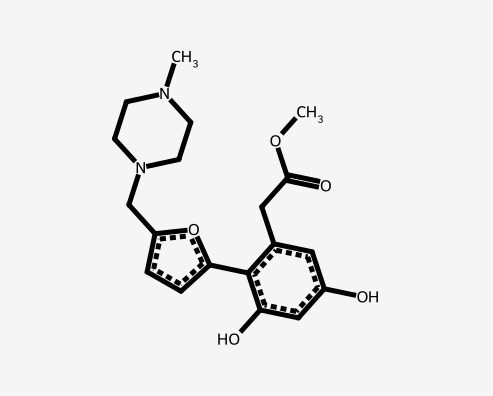 COC(=O)Cc1cc(O)cc(O)c1-c1ccc(CN2CCN(C)CC2)o1